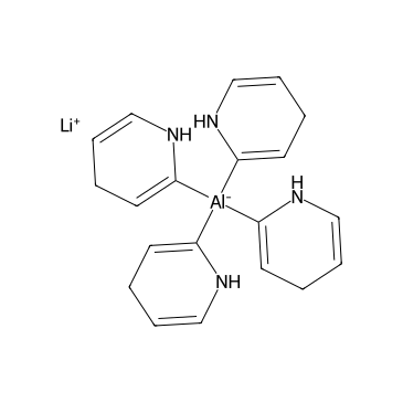 C1=CN[C]([Al-]([C]2=CCC=CN2)([C]2=CCC=CN2)[C]2=CCC=CN2)=CC1.[Li+]